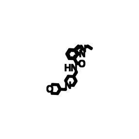 CCn1cc2cccc(C(=O)NCC3CCN(CC4CCOCC4)CC3)c2n1